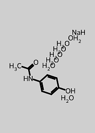 CC(=O)Nc1ccc(O)cc1.O.O.O.O.O.O.O.[NaH]